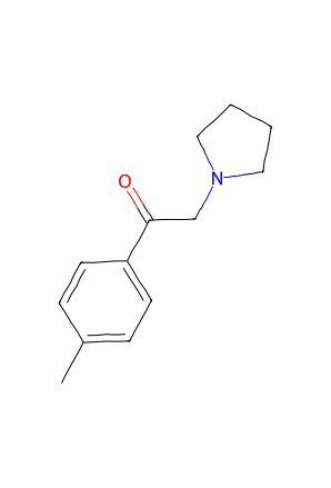 Cc1ccc(C(=O)CN2CCCC2)cc1